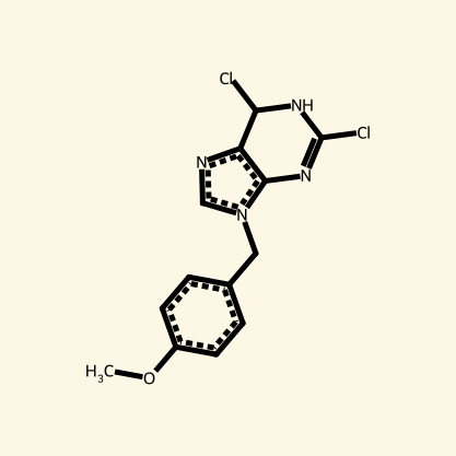 COc1ccc(Cn2cnc3c2N=C(Cl)NC3Cl)cc1